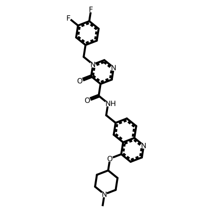 CN1CCC(Oc2ccnc3ccc(CNC(=O)c4cncn(Cc5ccc(F)c(F)c5)c4=O)cc23)CC1